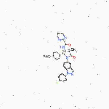 COc1ccc([C@@H]2[C@@H](NC(=O)c3ncccn3)[C@H](C)C(=O)N2c2ccc3c(cnn3-c3ccc(F)cc3)c2)cc1